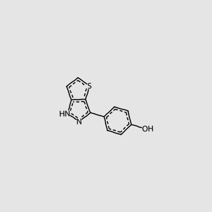 Oc1ccc(-c2n[nH]c3ccsc23)cc1